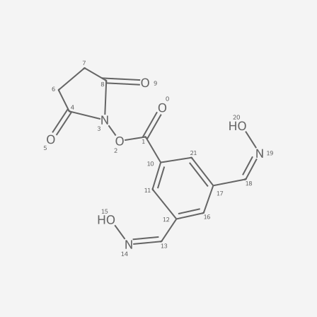 O=C(ON1C(=O)CCC1=O)c1cc(/C=N\O)cc(/C=N\O)c1